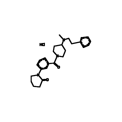 CN(CCc1ccccc1)C1CCN(C(=O)c2cccc(N3CCCCC3=O)c2)CC1.Cl